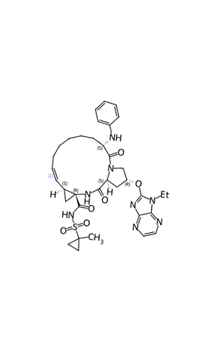 CCn1c(O[C@@H]2C[C@H]3C(=O)N[C@]4(C(=O)NS(=O)(=O)C5(C)CC5)C[C@H]4/C=C\CCCCC[C@H](Nc4ccccc4)C(=O)N3C2)nc2nccnc21